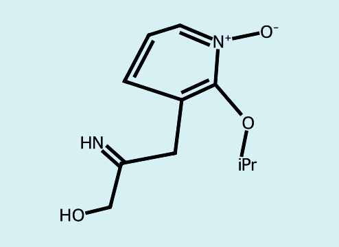 CC(C)Oc1c(CC(=N)CO)ccc[n+]1[O-]